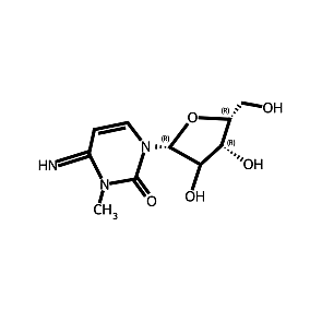 Cn1c(=N)ccn([C@@H]2O[C@H](CO)[C@H](O)C2O)c1=O